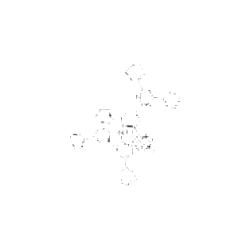 CC(C)(C)c1cc(-c2ccccc2)cc2c3cc(-c4ccccc4)ccc3n(C3=C(c4ccccc4)C=C(c4nc(-c5ccccc5)cc(-c5ccccc5)n4)CC3c3ccccc3)c12